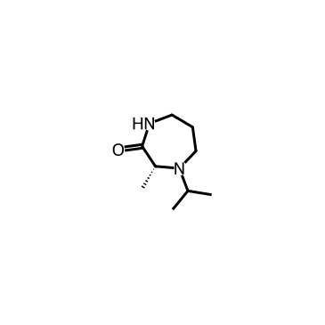 CC(C)N1CCCNC(=O)[C@H]1C